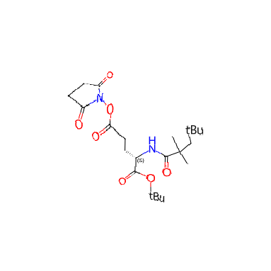 CC(C)(C)CC(C)(C)C(=O)N[C@@H](CCC(=O)ON1C(=O)CCC1=O)C(=O)OC(C)(C)C